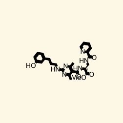 COC(=O)[C@H](CNC(=O)c1ccccn1)NC(=O)c1c(C)nc(NCCCc2cccc(O)c2)nc1C